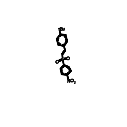 CC(C)(C)c1ccc(C=CS(=O)(=O)c2ccc([N+](=O)[O-])cc2)cc1